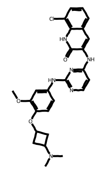 COc1cc(Nc2nccc(Nc3cc4cccc(Cl)c4[nH]c3=O)n2)ccc1OC1CC(N(C)C)C1